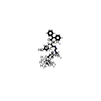 C=C(/C=C\C=C(/C)NS(=O)(=O)CC(C)O[Si](C)(C)C(C)(C)C)[C@@H](CN1CC[C@@H](O)C1)N(C)C(=O)C(c1ccccc1)c1ccccc1